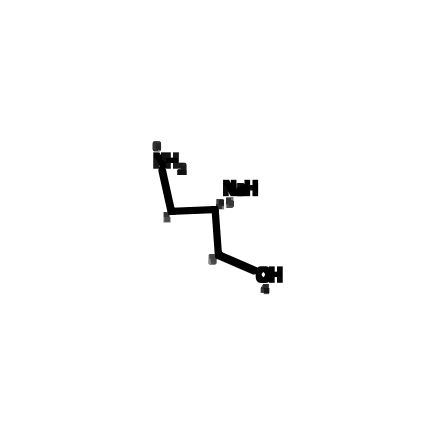 NCCCO.[NaH]